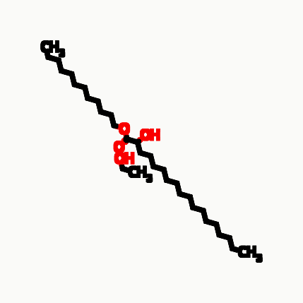 CCCCCCCCCCCCCCCCC(O)C(=O)OCCCCCCCCCCCC.CCO